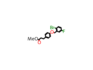 COC(=O)CCc1ccc(OCc2cc(F)ccc2Br)cc1